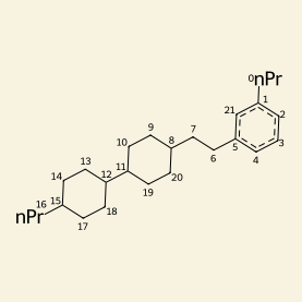 CCCc1cccc(CCC2CCC(C3CCC(CCC)CC3)CC2)c1